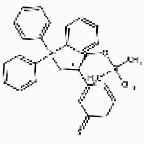 C[Si](C)(C)OC[C@H](C[P+](c1ccccc1)(c1ccccc1)c1ccccc1)C1=CC(=S)CC=C1.[I-]